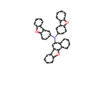 c1ccc2c(c1)oc1ccc(N(c3ccc4oc5ccccc5c4c3)c3cc4c5ccccc5oc4c4ccccc34)cc12